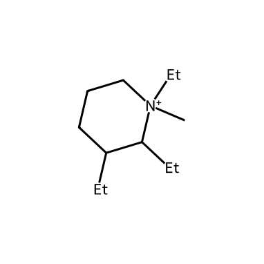 CCC1CCC[N+](C)(CC)C1CC